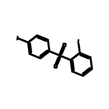 O=S(=O)(c1ccc(I)cc1)c1ccccc1I